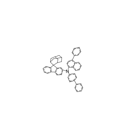 c1ccc(-c2ccc(N(c3ccc4c(c3)C3(c5ccccc5-4)C4CC5CC(C4)CC3C5)c3ccc(-c4ccccc4)c4ccccc34)cc2)cc1